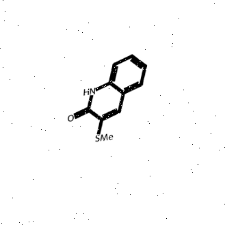 CSc1cc2ccccc2[nH]c1=O